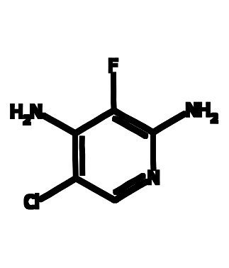 Nc1ncc(Cl)c(N)c1F